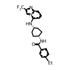 CCc1ccc(C(=O)N[C@H]2CC[C@@H](Nc3cccc4nc(C(F)(F)F)cn34)CC2)cc1